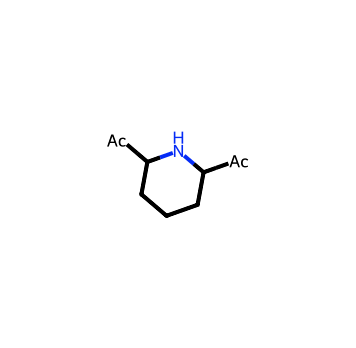 CC(=O)C1CCCC(C(C)=O)N1